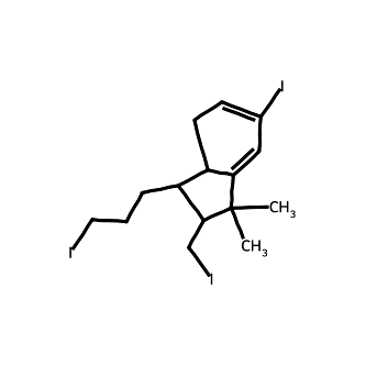 CC1(C)C2=CC(I)=CCC2C(CCCI)C1CI